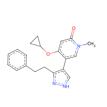 Cn1cc(-c2c[nH]nc2CCc2ccccc2)c(OC2CC2)cc1=O